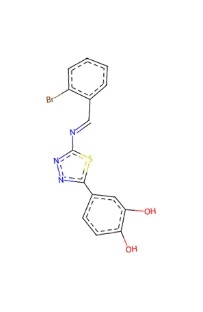 Oc1ccc(-c2nnc(N=Cc3ccccc3Br)s2)cc1O